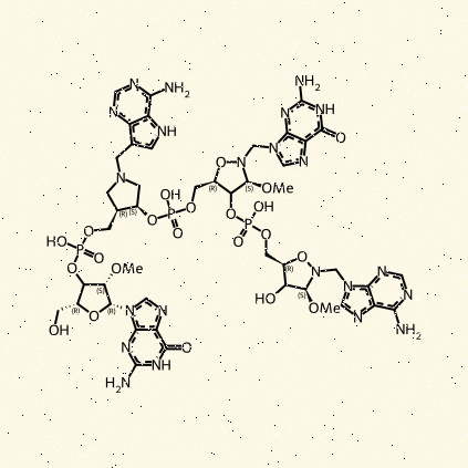 CO[C@H]1C(OP(=O)(O)OC[C@H]2CN(Cc3c[nH]c4c(N)ncnc34)C[C@H]2OP(=O)(O)OC[C@H]2ON(Cn3cnc4c(=O)[nH]c(N)nc43)[C@@H](OC)C2OP(=O)(O)OC[C@H]2ON(Cn3cnc4c(N)ncnc43)[C@@H](OC)C2O)[C@@H](CO)O[C@H]1n1cnc2c(=O)[nH]c(N)nc21